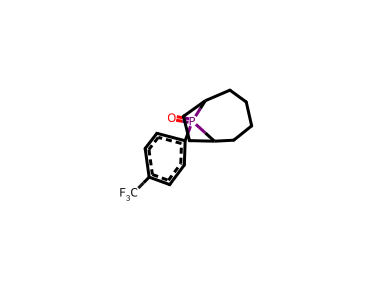 O=P1(c2ccc(C(F)(F)F)cc2)C2CCCCC1CC2